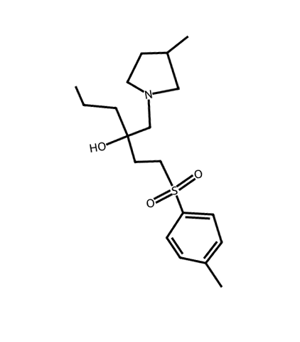 CCCC(O)(CCS(=O)(=O)c1ccc(C)cc1)CN1CCC(C)C1